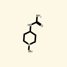 CC(C)(C)N1CCC(NC(N)=O)CC1